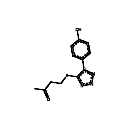 CC(=O)CCSc1nnnn1-c1ccc(O)cc1